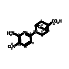 Nc1nc(N2CC3CCC2CN3C(=O)O)ccc1[N+](=O)[O-]